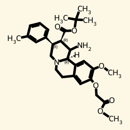 COC(=O)COc1cc2c(cc1OC)[C@@H]1C(N)[C@H](C(=O)OC(C)(C)C)[C@H](c3cccc(C)c3)CN1CC2